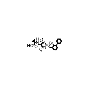 COc1nc(SCc2cccc(-c3ccccc3)c2Br)nc(OC)c1CNC1(C(=O)O)CC1